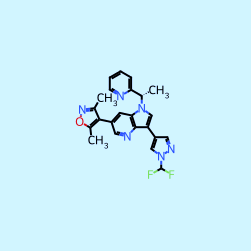 Cc1noc(C)c1-c1cnc2c(-c3cnn(C(F)F)c3)cn([C@@H](C)c3ccccn3)c2c1